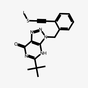 CC(C)(C)c1nc(=O)c2nnn(Cc3ccccc3C#CSI)c2[nH]1